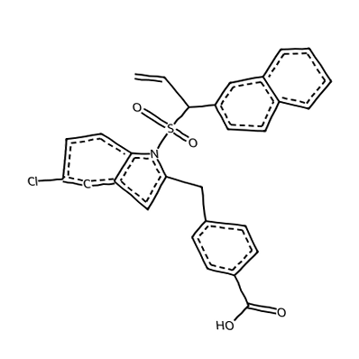 C=CC(c1ccc2ccccc2c1)S(=O)(=O)n1c(Cc2ccc(C(=O)O)cc2)cc2cc(Cl)ccc21